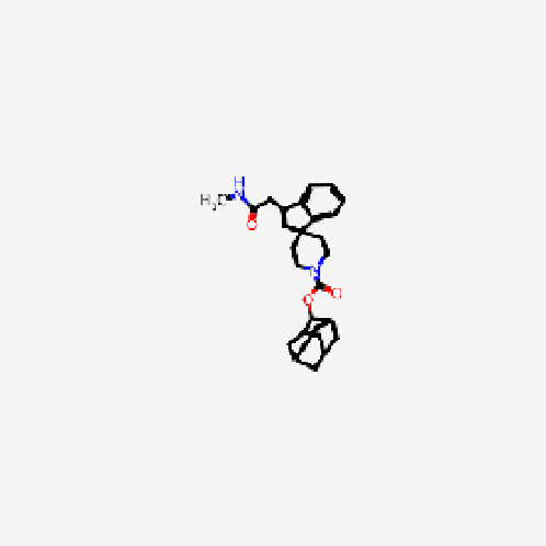 CNC(=O)CC1CC2(CCN(C(=O)OC3C4CC5CC(C4)CC3C5)CC2)c2ccccc21